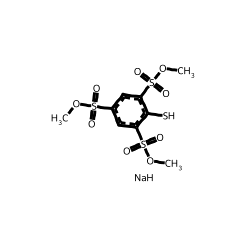 COS(=O)(=O)c1cc(S(=O)(=O)OC)c(S)c(S(=O)(=O)OC)c1.[NaH]